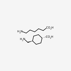 NCCCCCC(=O)O.NC[C@H]1CC[C@H](C(=O)O)CC1